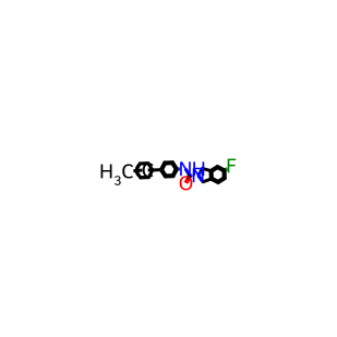 CC12CCC(c3ccc(NC(=O)N4Cc5ccc(F)cc5C4)cc3)(CC1)CC2